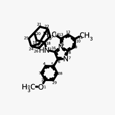 COc1ccc(-c2nc3cc(C)cc(C)n3c2NC23CC4CC(CC(C4)C2)C3)cc1